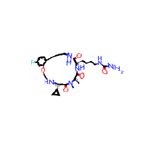 C[C@@H]1C(=O)N[C@H](CCCCNC(N)=O)C(=O)NCCCc2ccc(F)cc2OCCN[C@@H](C2CC2)C(=O)N1C